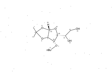 CCCCO[C@@H]1C2OC(C)(C)O[C@@H]2O[C@@H]1C(O)CO